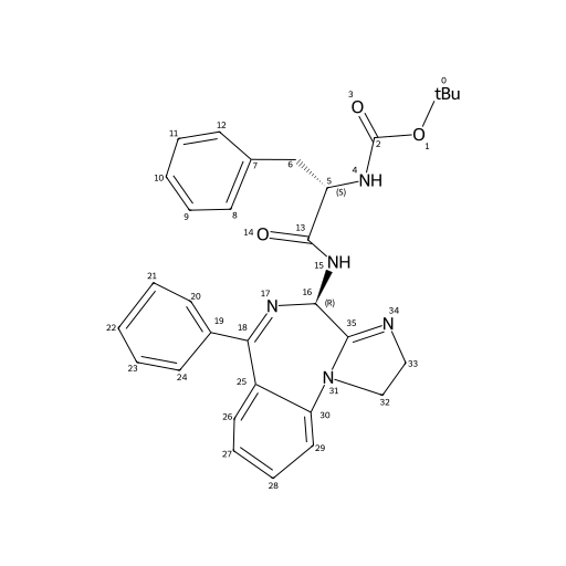 CC(C)(C)OC(=O)N[C@@H](Cc1ccccc1)C(=O)N[C@@H]1N=C(c2ccccc2)c2ccccc2N2CCN=C12